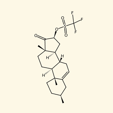 C[C@H]1CC[C@@]2(C)C(=CC[C@@H]3[C@@H]2CC[C@]2(C)C(=O)[C@@H](OS(=O)(=O)C(F)(F)F)C[C@@H]32)C1